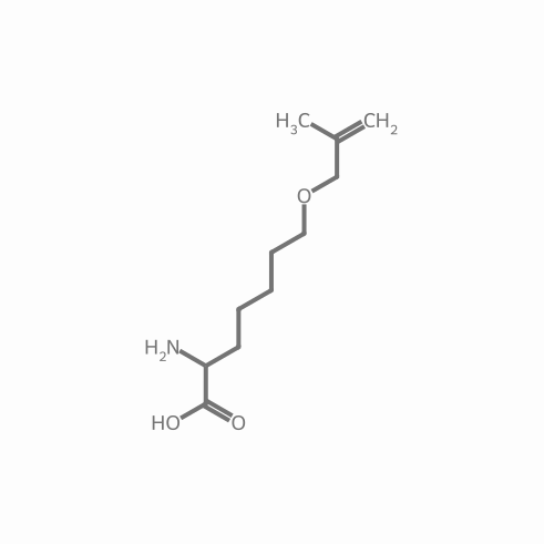 C=C(C)COCCCCCC(N)C(=O)O